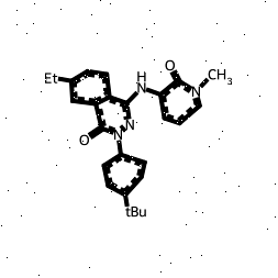 CCc1ccc2c(Nc3cccn(C)c3=O)nn(-c3ccc(C(C)(C)C)cc3)c(=O)c2c1